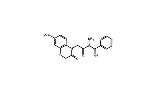 COc1ccc2c(c1)SCC(=O)N2CC(=O)N(N)C(=N)c1ccccn1